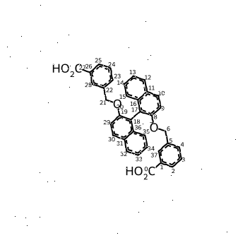 O=C(O)c1cccc(COc2ccc3ccccc3c2-c2c(OCc3cccc(C(=O)O)c3)ccc3ccccc23)c1